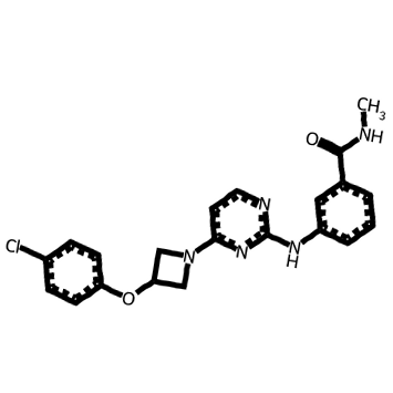 CNC(=O)c1cccc(Nc2nccc(N3CC(Oc4ccc(Cl)cc4)C3)n2)c1